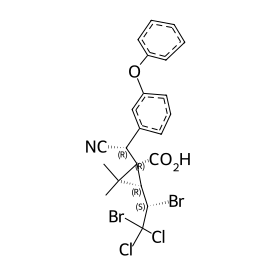 CC1(C)[C@@H]([C@H](Br)C(Cl)(Cl)Br)[C@]1(C(=O)O)[C@H](C#N)c1cccc(Oc2ccccc2)c1